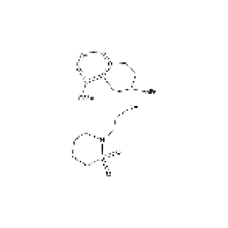 CCCC1(NCCN2CCCCS2(=O)=O)CCc2cccc(OC)c2C1